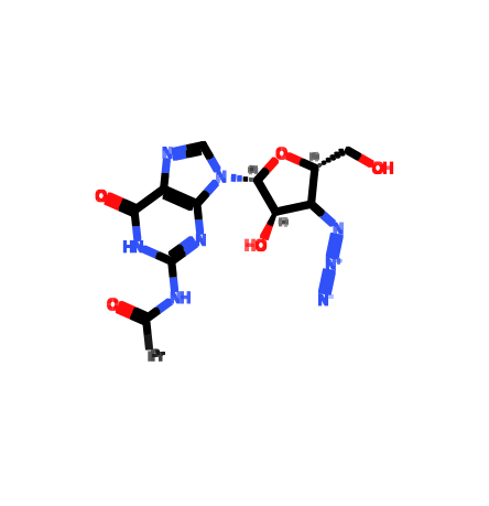 CC(C)C(=O)Nc1nc2c(ncn2[C@@H]2O[C@H](CO)C(N=[N+]=[N-])[C@H]2O)c(=O)[nH]1